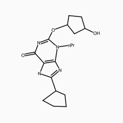 CCCn1c(OC2CCC(O)C2)nc(=O)c2c1N=C(C1CCCC1)[N]2